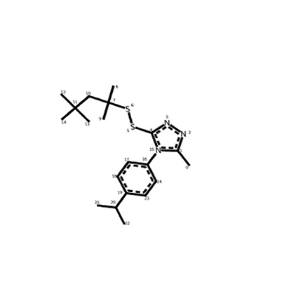 Cc1nnc(SSC(C)(C)CC(C)(C)C)n1-c1ccc(C(C)C)cc1